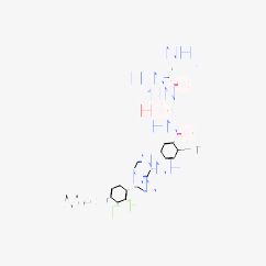 CCc1cc(Nc2nccn3c(-c4ccc(OC)c(F)c4F)cnc23)ccc1C(=O)NCC(O)CNC(=O)C(N)CCN